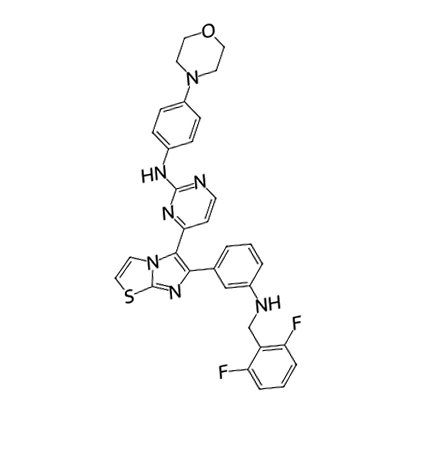 Fc1cccc(F)c1CNc1cccc(-c2nc3sccn3c2-c2ccnc(Nc3ccc(N4CCOCC4)cc3)n2)c1